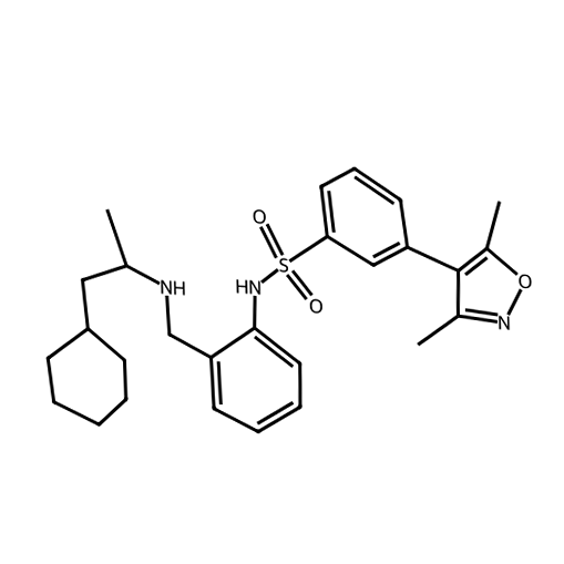 Cc1noc(C)c1-c1cccc(S(=O)(=O)Nc2ccccc2CNC(C)CC2CCCCC2)c1